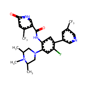 CC1CN(c2cc(F)c(-c3cncc(C(F)(F)F)c3)cc2NC(=O)c2c[nH]c(=O)cc2C(F)(F)F)CC(C)N1C